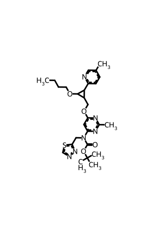 CCCCOC1C(COc2cc(N(Cc3nncs3)C(=O)OC(C)(C)C)nc(C)n2)C1c1ccc(C)cn1